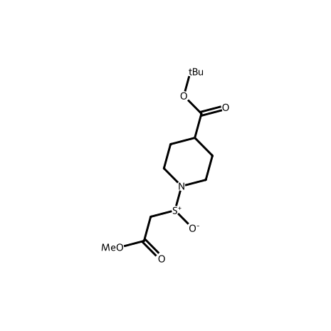 COC(=O)C[S+]([O-])N1CCC(C(=O)OC(C)(C)C)CC1